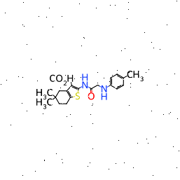 Cc1ccc(NCC(=O)Nc2sc3c(c2C(=O)O)CC(C)(C)CC3)cc1